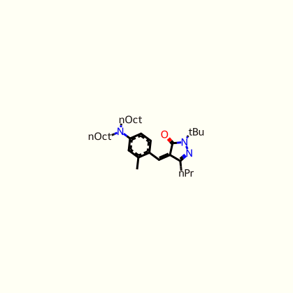 CCCCCCCCN(CCCCCCCC)c1ccc(/C=C2\C(=O)N(C(C)(C)C)N=C2CCC)c(C)c1